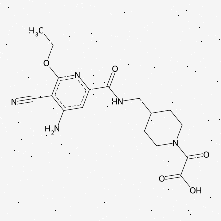 CCOc1nc(C(=O)NCC2CCN(C(=O)C(=O)O)CC2)cc(N)c1C#N